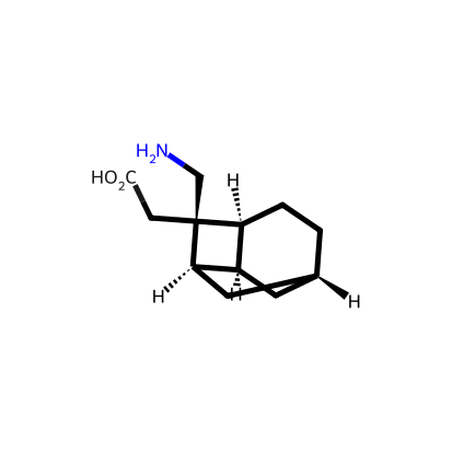 NC[C@]1(CC(=O)O)[C@@H]2C[C@@H]3CC[C@H]1[C@H]2C3